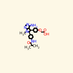 C=C(C)C(=O)Nc1ccc(-c2c(-c3ccc(OCC(=O)O)cc3)c3c(N)ncnc3n2C)cc1